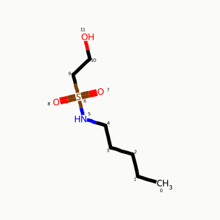 CCCCCNS(=O)(=O)CCO